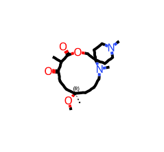 CO[C@]1(C)CCCN(C)C2(CCN(C)CC2)COC(=O)C(C)C(=O)CC1